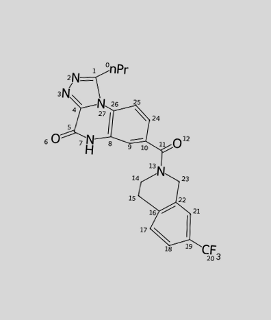 CCCc1nnc2c(=O)[nH]c3cc(C(=O)N4CCc5ccc(C(F)(F)F)cc5C4)ccc3n12